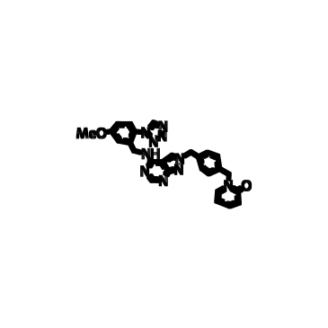 COc1ccc(-n2cnnn2)c(CNc2ncnc3nn(Cc4ccc(Cn5ccccc5=O)cc4)cc23)c1